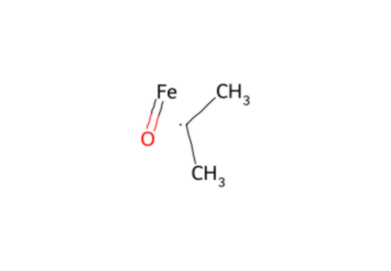 C[CH]C.[O]=[Fe]